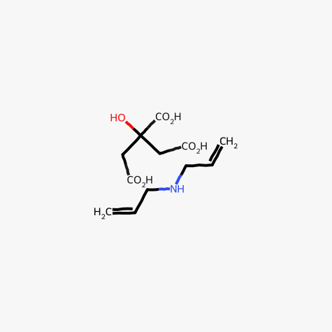 C=CCNCC=C.O=C(O)CC(O)(CC(=O)O)C(=O)O